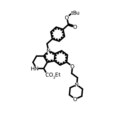 CCOC(=O)C1NCCc2c1c1cc(OCCN3CCOCC3)ccc1n2Cc1ccc(C(=O)OC(C)(C)C)cc1